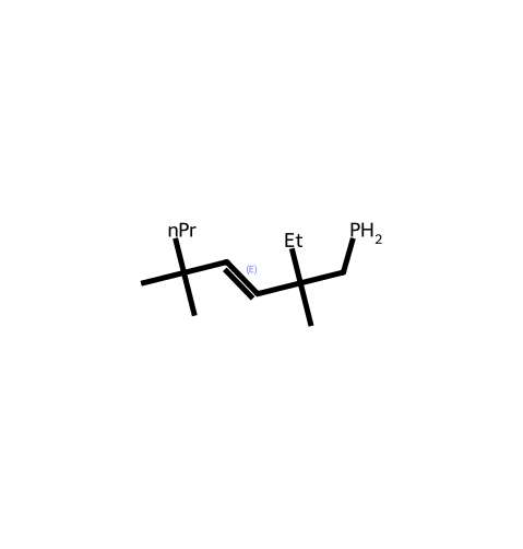 CCCC(C)(C)/C=C/C(C)(CC)CP